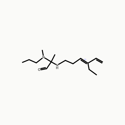 C=C/C(=C/CCNC(C)(C=O)N(C)CCC)CC